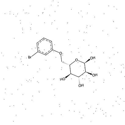 O[C@@H]1[C@@H](O)[C@H](COc2cccc(Br)c2)O[C@@H](O)[C@H]1O